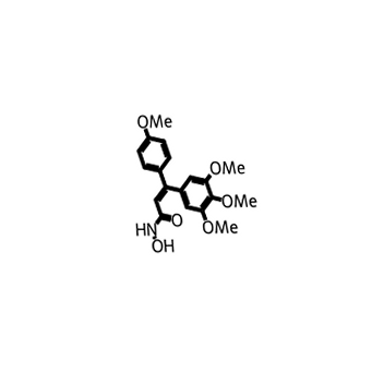 COc1ccc(C(=CC(=O)NO)c2cc(OC)c(OC)c(OC)c2)cc1